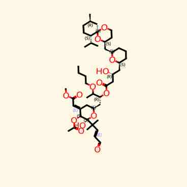 CCCCOC(C)[C@@H](C[C@@H]1C/C(=C\C(=O)OC)[C@H](OC(C)=O)[C@](O)(C(C)(C)/C=C/C=O)O1)OC(=O)C[C@H](O)C[C@@H]1CCC[C@H](C[C@@H]2CCO[C@@]3(C[C@H](C)CC[C@H]3C(C)C)O2)O1